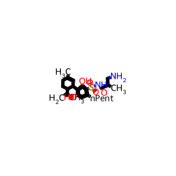 C=C(C)C1CCC(C)=CC1c1c(O)cc(CCCCC)c(S(=O)(=O)NC(=O)C(C)CN)c1O